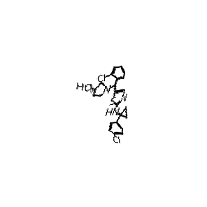 O[C@@H]1CCN(C(c2cnc(NC3(c4ccc(Cl)cc4)CC3)s2)c2ccccc2Cl)C1